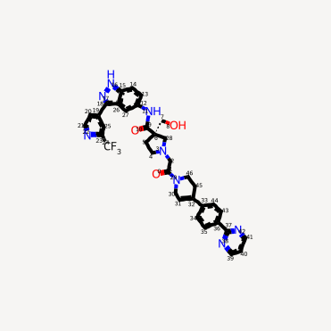 O=C(CN1CC[C@@](CO)(C(=O)Nc2ccc3[nH]nc(-c4ccnc(C(F)(F)F)c4)c3c2)C1)N1CC=C(c2ccc(-c3ncccn3)cc2)CC1